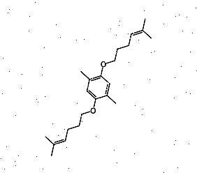 CC(C)=CCCCOc1cc(C)c(OCCCC=C(C)C)cc1C